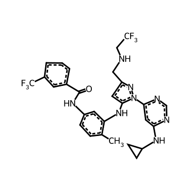 Cc1ccc(NC(=O)c2cccc(C(F)(F)F)c2)cc1Nc1cc(CNCC(F)(F)F)nn1-c1cc(NC2CC2)ncn1